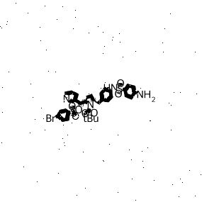 CC(C)(C)OC(=O)N1[C@H](Cc2ccc(NS(=O)(=O)c3ccc(N)cc3)cc2)CC[C@@H]1[C@H](OS(=O)(=O)c1ccc(Br)cc1)c1cccnc1